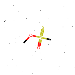 COS(C)(=O)=S